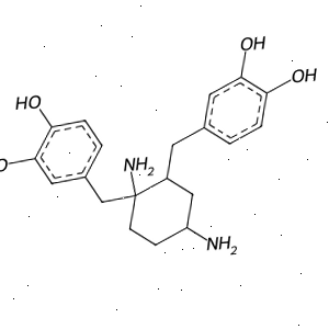 NC1CCC(N)(Cc2ccc(O)c(O)c2)C(Cc2ccc(O)c(O)c2)C1